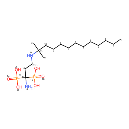 CCCCCCCCCCCC(C)(C)NCCC(N)(P(=O)(O)O)P(=O)(O)O